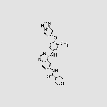 Cc1cc(Nc2ncnc3ccc(NC(=O)C4CCOCC4)cc23)ccc1Oc1ccn2ncnc2c1